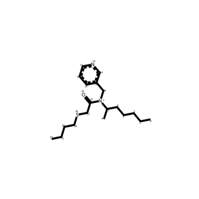 CCCCCC(C)N(Cc1cccnc1)C(=O)CSCCCC